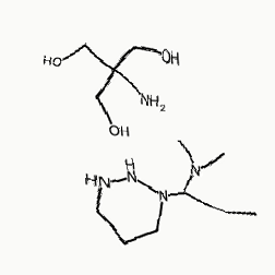 CCC(N(C)C)N1CCCNN1.NC(CO)(CO)CO